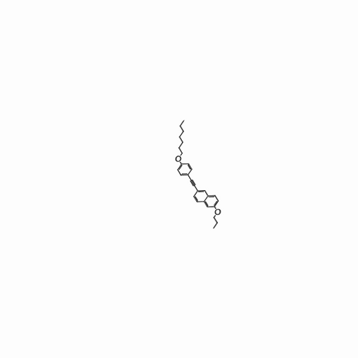 CCCCCCCOc1ccc(C#Cc2ccc3cc(OCCC)ccc3c2)cc1